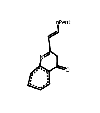 CCCCCC=CC1=Nc2ccccc2C(=O)C1